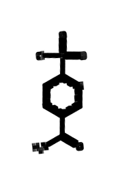 NC(=O)c1ccc(S(=O)(=O)Cl)nc1